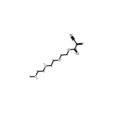 C=C(C#N)C(=O)OCCOCCOCCOC